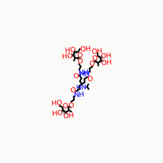 CC(C)NC(CCC(=O)NCCCO[C@@H]1OC(CO)[C@H](O)[C@H](O)C1C)(CCC(=O)NCCCO[C@@H]1OC(CO)[C@H](O)[C@H](O)C1C)CCC(=O)NCCCO[C@@H]1OC(CO)[C@H](O)[C@H](O)C1C